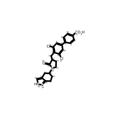 O=C(O)c1ccc(-c2cc(Cl)c(CC3CCN(C4CCc5n[nH]cc5C4)C3=O)c(Cl)c2)cc1